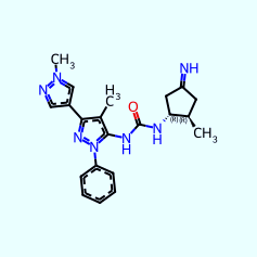 Cc1c(-c2cnn(C)c2)nn(-c2ccccc2)c1NC(=O)N[C@@H]1CC(=N)C[C@H]1C